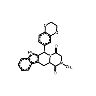 CN1CC(=O)N2C(Cc3c([nH]c4ccccc34)[C@H]2c2ccc3c(c2)OCCO3)C1=O